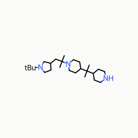 CC(C)(C1CCNCC1)C1CCN(C(C)(C)CC2CCN(C(C)(C)C)C2)CC1